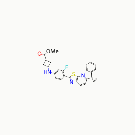 COC(=O)C1CC(Nc2ccc(-c3nc4ccc(C5(c6ccccc6)C=C5)nc4s3)c(F)c2)C1